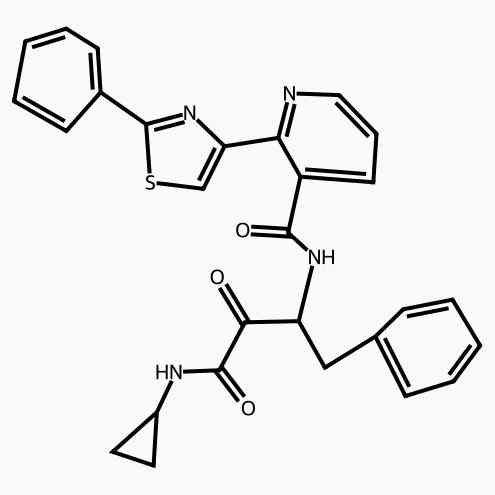 O=C(NC1CC1)C(=O)C(Cc1ccccc1)NC(=O)c1cccnc1-c1csc(-c2ccccc2)n1